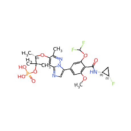 COc1cc(-c2cnc3cc(O[C@@H](C)C(C)(C)OP(=O)(O)O)c(C)nn23)cc(OC(F)F)c1C(=O)N[C@@H]1C[C@@H]1F